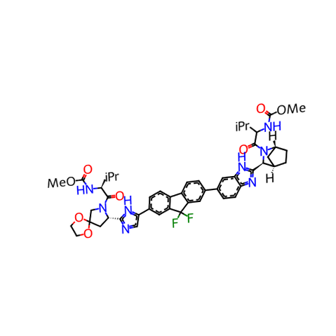 COC(=O)NC(C(=O)N1[C@@H]2CC[C@H](C2)[C@H]1c1nc2ccc(-c3ccc4c(c3)C(F)(F)c3cc(-c5cnc([C@@H]6CC7(CN6C(=O)[C@@H](NC(=O)OC)C(C)C)OCCO7)[nH]5)ccc3-4)cc2[nH]1)C(C)C